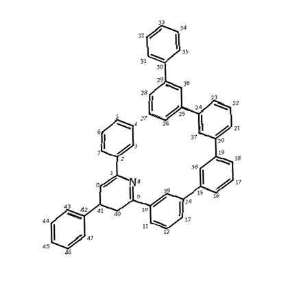 C1=C(c2ccccc2)N=C(c2cccc(-c3cccc(-c4cccc(-c5cccc(-c6ccccc6)c5)c4)c3)c2)CC1c1ccccc1